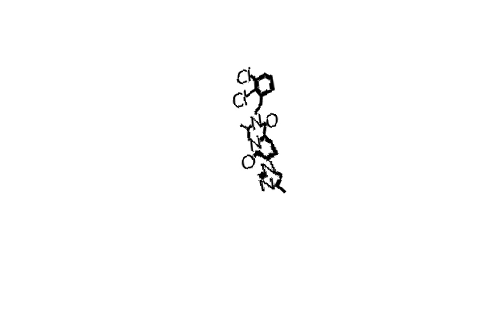 Cc1cn(-c2ccc3n(c2=O)C[C@@H](C)N(CCc2cccc(Cl)c2Cl)C3=O)cn1